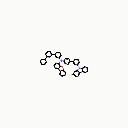 Fc1ccc2c3ccccc3n(-c3cccc(-c4ccc(N(c5cccc(-c6cccc(-c7ccccc7)c6)c5)c5cccc6c5oc5ccccc56)cc4)c3)c2c1